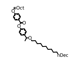 CCCCCCCCCCCCCCCCCCCCOC(C)c1ccc(OC(=O)c2ccc(OCCCCCCCC)cc2)cc1